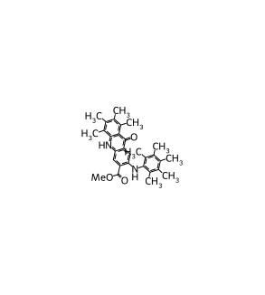 COC(=O)c1cc2[nH]c3c(C)c(C)c(C)c(C)c3c(=O)c2cc1Nc1c(C)c(C)c(C)c(C)c1C